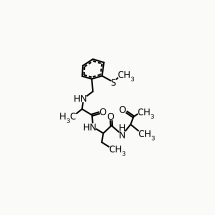 CCC(NC(=O)C(C)NCc1ccccc1SC)C(=O)NC(C)C(C)=O